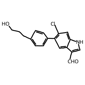 O=Cc1c[nH]c2cc(Cl)c(-c3ccc(CCCO)cc3)cc12